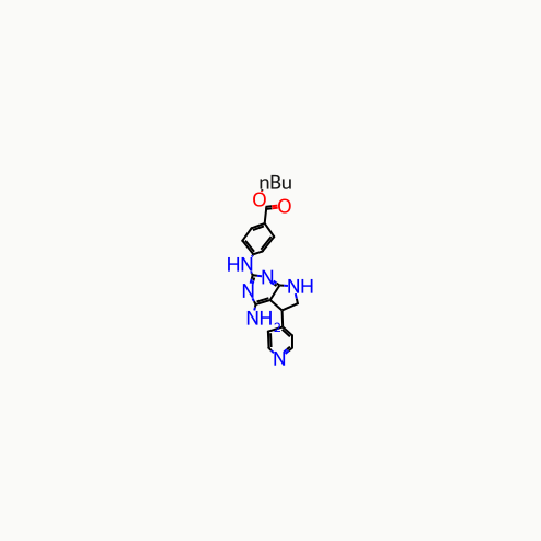 CCCCOC(=O)c1ccc(Nc2nc(N)c3c(n2)NCC3c2ccncc2)cc1